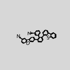 N#Cc1cccc(-c2c(-c3ccc4c(c3)oc3ccc(C#N)cc34)cccc2-c2cccc3c2sc2ccccc23)c1